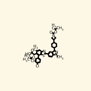 Cc1cc2nc(-c3ccc4c(c3)c(C3CCC(C5CN(C(=O)OC(C)C)C5)CC3)nn4C)sc2c(-c2ccc(Cl)cc2)c1[C@H](OC(C)(C)C)C(=O)O